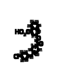 O=C(O)c1cc(OCC(=O)N2CCN(Cc3ccc(Cl)cc3)CC2)nc2ccccc12